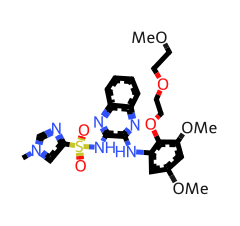 COCCOCCOc1c(Nc2nc3ccccc3nc2NS(=O)(=O)c2cn(C)cn2)cc(OC)cc1OC